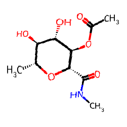 CNC(=O)[C@@H]1O[C@H](C)[C@@H](O)[C@H](O)[C@H]1OC(C)=O